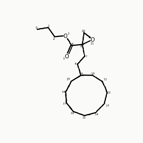 CCCOC(=O)C1(CCC2CCCCCCCCCC2)CO1